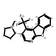 CN1CCC[C@H]1c1cnc2oc3ccccc3c2c1C(F)(F)F